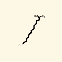 CC(O)CCCCCCC=CCCCCC(=O)O